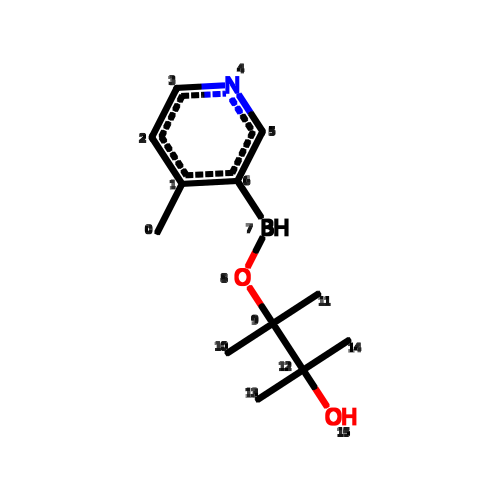 Cc1ccncc1BOC(C)(C)C(C)(C)O